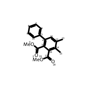 COC(=O)c1c(-c2ccccc2)cc(C)c(C)c1C(=O)OC